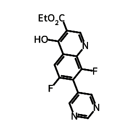 CCOC(=O)c1cnc2c(F)c(-c3cncnc3)c(F)cc2c1O